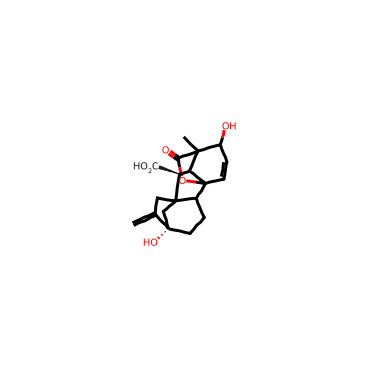 C=C1CC23C[C@@]1(O)CCC2C12C=CC(O)C(C)(C(=O)O1)C2[C@@H]3C(=O)O